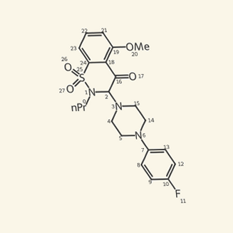 CCCN1C(N2CCN(c3ccc(F)cc3)CC2)C(=O)c2c(OC)cccc2S1(=O)=O